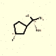 CCCC[C@@](C)(CCC)C1CC[C@@H](F)C1